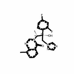 Cc1cccc2c(=O)n([C@H](C)[C@](O)(Cn3cncn3)c3ccc(F)cc3F)cnc12